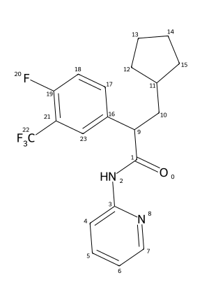 O=C(Nc1ccccn1)C(CC1CCCC1)c1ccc(F)c(C(F)(F)F)c1